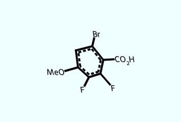 COc1cc(Br)c(C(=O)O)c(F)c1F